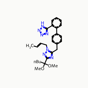 C/C=C/Cn1nc(C(CCCC)(OC)OC)nc1Cc1ccc(-c2ccccc2-c2nnn[nH]2)cc1